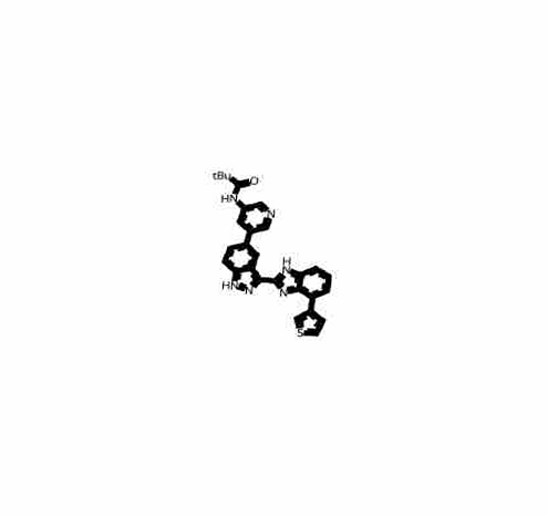 CC(C)(C)C(=O)Nc1cncc(-c2ccc3[nH]nc(-c4nc5c(-c6ccsc6)cccc5[nH]4)c3c2)c1